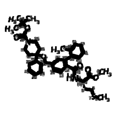 COC(=O)[C@H](CCSC)NC(=O)c1ccc(COC2(c3ccccc3)CCN(C(=O)OC(C)(C)C)CC2)cc1-c1ccccc1C